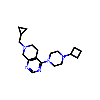 c1nc2c(c(N3CCN(C4CCC4)CC3)n1)CCN(CC1CC1)C2